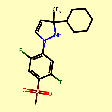 CS(=O)(=O)c1cc(F)c(N2C=CC(C3CCCCC3)(C(F)(F)F)N2)cc1F